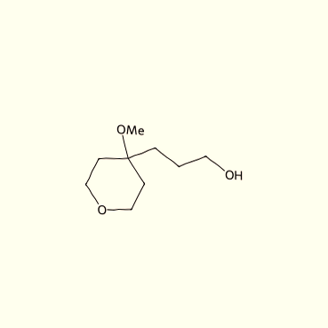 COC1(CCCO)CCOCC1